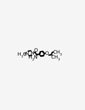 CC[C@H](C)COc1ccc([C@@H](N)C(=O)N2CCN(C)CC2)cc1